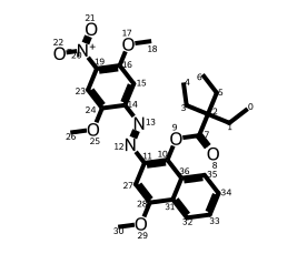 CCC(CC)(CC)C(=O)Oc1c(N=Nc2cc(OC)c([N+](=O)[O-])cc2OC)cc(OC)c2ccccc12